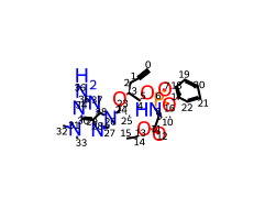 C#CC[C@@H](CO[P@@](=O)(N[C@H](C)C(=O)OCC)Oc1ccccc1)O[C@H](C)n1cnc2c(N(C)C)nc(N)nc21